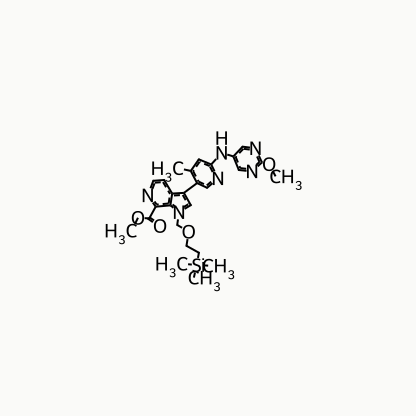 COC(=O)c1nccc2c(-c3cnc(Nc4cnc(OC)nc4)cc3C)cn(COCC[Si](C)(C)C)c12